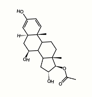 CC(=O)O[C@H]1[C@H](O)CC2C3C(CC[C@@]21C)[C@@]1(C)C=CC(O)=C[C@@H]1C[C@@H]3O